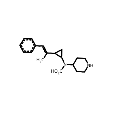 C/C(=C\c1ccccc1)C1CC1N(C(=O)O)C1CCNCC1